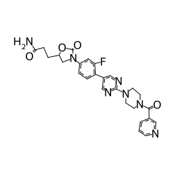 NC(=O)CCC1CN(c2ccc(-c3cnc(N4CCN(C(=O)c5cccnc5)CC4)nc3)c(F)c2)C(=O)O1